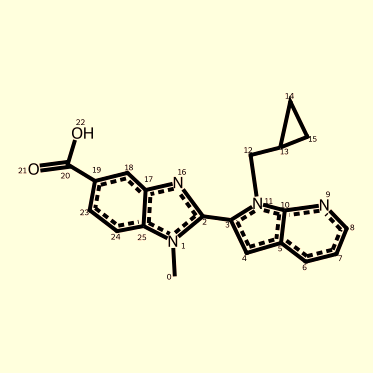 Cn1c(-c2cc3cccnc3n2CC2CC2)nc2cc(C(=O)O)ccc21